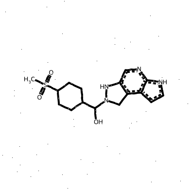 CS(=O)(=O)C1CCC(C(O)N2Cc3c(cnc4[nH]ccc34)N2)CC1